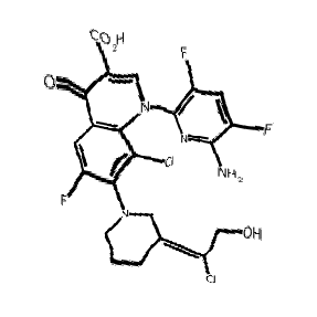 Nc1nc(-n2cc(C(=O)O)c(=O)c3cc(F)c(N4CCC/C(=C(\Cl)CO)C4)c(Cl)c32)c(F)cc1F